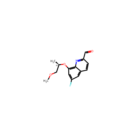 COC[C@@H](C)Oc1cc(F)cc2ccc(C=O)nc12